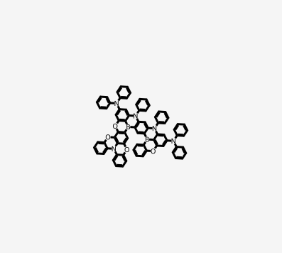 c1ccc(N(c2ccccc2)c2cc3c4c(c2)N(c2ccccc2)c2cc5c(cc2B4c2ccccc2O3)B2c3cc4c6c(c3Oc3cc(N(c7ccccc7)c7ccccc7)cc(c32)N5c2ccccc2)Oc2ccccc2N6c2ccccc2O4)cc1